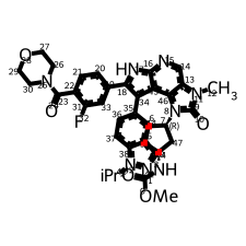 COC(=O)N[C@@H]1CC[C@@H](n2c(=O)n(C)c3cnc4[nH]c(-c5ccc(C(=O)N6CCOCC6)c(F)c5)c(-c5ccc6c(cnn6C(C)C)c5)c4c32)C1